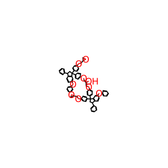 OC(COc1ccc(C2(c3ccc(OCC4CO4)cc3)CC(c3ccccc3)c3ccc(Oc4ccccc4)cc32)cc1)COc1ccc(C2(c3ccc(OCC4CO4)cc3)CC(c3ccccc3)c3ccc(Oc4ccccc4)cc32)cc1